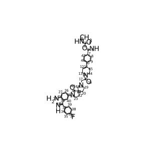 CNC(=O)OC(=N)c1ccc(C2=CCN(C(=O)CN3CC[C@]4(CCN(c5ccc(N)c(C(=N)c6ccc(F)cc6)c5)C4=O)C3)CC2)cc1